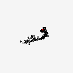 CC(C)(C)OC(=O)NCCCCN(CCCNCCCc1ccc(-c2cc(=O)c3ccc4c(c3o2)OC(c2ccccc2)(c2ccccc2)O4)cc1)C(=O)OC(C)(C)C